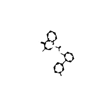 O=C(O)c1cn(C(=O)Nc2ccccc2-c2cccc(Cl)c2)c2ccccc2c1=O